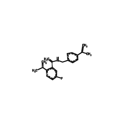 C=C(C)c1ccc(CNC(=C)c2cc(F)ccc2C(=C)C)cc1